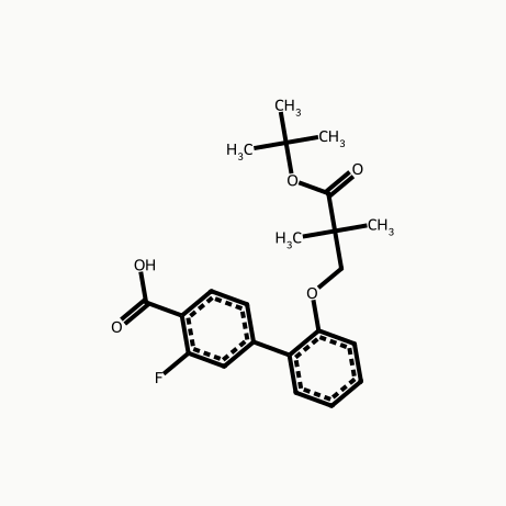 CC(C)(C)OC(=O)C(C)(C)COc1ccccc1-c1ccc(C(=O)O)c(F)c1